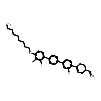 C=CC1CC=C(c2ccc(-c3ccc(-c4ccc(OCCCCCCCCC)c(F)c4F)cc3)cc2F)CC1